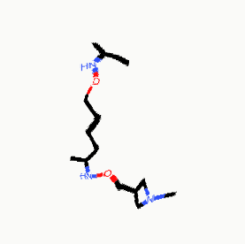 CC(C)NOCCCCC(C)NOCC1CN(C)C1